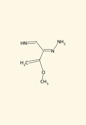 C=C(OC)/C(C=N)=N/N